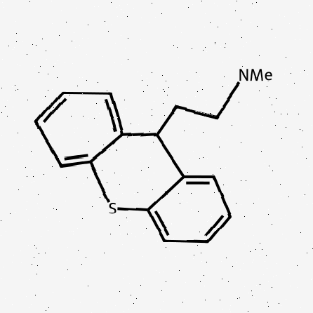 CNCCC1c2ccccc2Sc2ccccc21